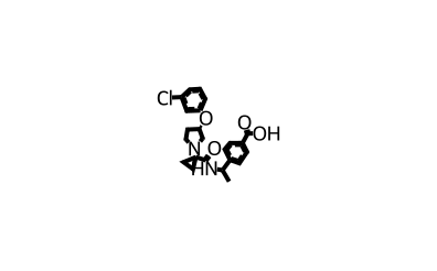 CC(NC(=O)C1(N2CC[C@@H](Oc3cccc(Cl)c3)C2)CC1)c1ccc(C(=O)O)cc1